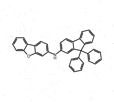 c1ccc(C2(c3ccccc3)c3ccccc3-c3ccc(Nc4ccc5c(c4)oc4ccccc45)cc32)cc1